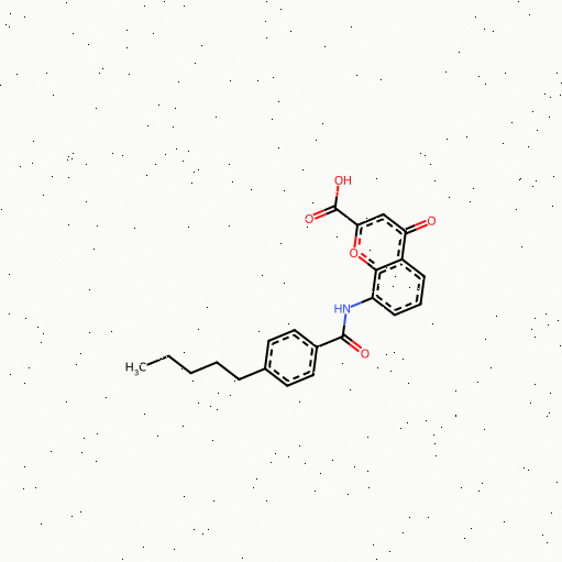 CCCCCc1ccc(C(=O)Nc2cccc3c(=O)cc(C(=O)O)oc23)cc1